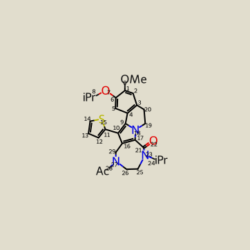 COc1cc2c(cc1OC(C)C)-c1c(-c3cccs3)c3c(n1CC2)C(=O)N(C(C)C)CCN(C(C)=O)C3